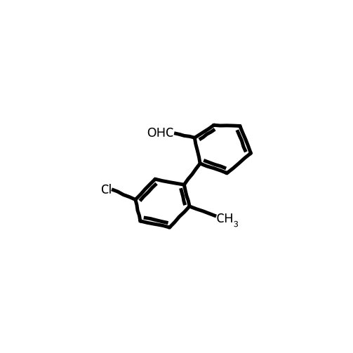 Cc1ccc(Cl)cc1-c1ccccc1C=O